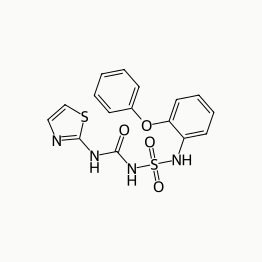 O=C(Nc1nccs1)NS(=O)(=O)Nc1ccccc1Oc1ccccc1